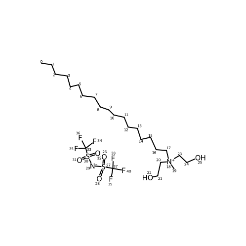 CCCCCCCCCCCCCCCCCC[N+](C)(CCO)CCO.O=S(=O)([N-]S(=O)(=O)C(F)(F)F)C(F)(F)F